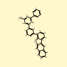 Clc1nc(-c2ccccc2)nc(-c2cccc(-c3cccc4c3oc3cc5ccccc5cc34)c2)n1